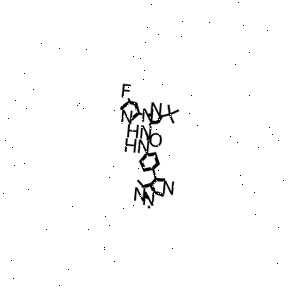 Cc1nn(C)c2cncc(-c3ccc(NC(=O)Nc4cc(C(C)(C)C)nn4-c4cncc(F)c4)cc3)c12